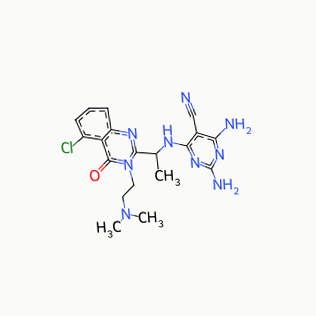 CC(Nc1nc(N)nc(N)c1C#N)c1nc2cccc(Cl)c2c(=O)n1CCN(C)C